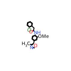 COc1cc(-c2ocnc2C)ccc1NC(=O)Cc1ccccc1Cl